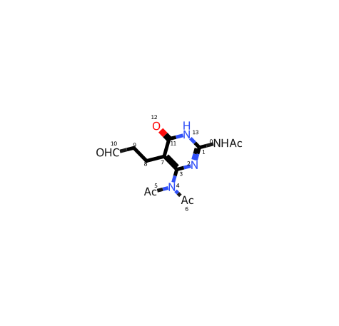 CC(=O)Nc1nc(N(C(C)=O)C(C)=O)c(CCC=O)c(=O)[nH]1